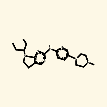 CCC(CC)N1CCc2cnc(Nc3ccc(N4CCN(C)CC4)cn3)nc21